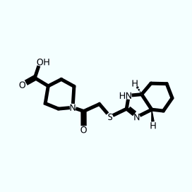 O=C(O)C1CCN(C(=O)CSC2=N[C@H]3CCCC[C@@H]3N2)CC1